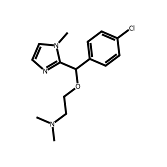 CN(C)CCOC(c1ccc(Cl)cc1)c1nccn1C